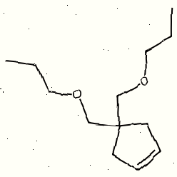 CCCOCC1(COCCC)CC=CC1